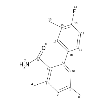 Cc1cc(C)c(C(N)=O)c(-c2ccc(F)c(C)c2)c1